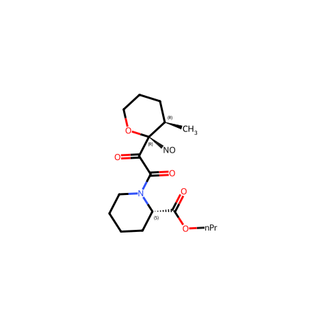 CCCOC(=O)[C@@H]1CCCCN1C(=O)C(=O)[C@]1(N=O)OCCC[C@H]1C